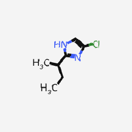 CCC(C)c1nc(Cl)c[nH]1